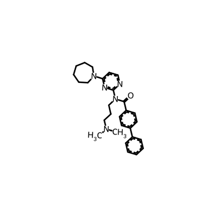 CN(C)CCCN(C(=O)c1ccc(-c2ccccc2)cc1)c1nccc(N2CCCCCC2)n1